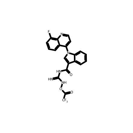 N=C(NOC(=O)C(F)(F)F)NC(=O)c1cn(-c2ccnc3c(F)cccc23)c2ccccc12